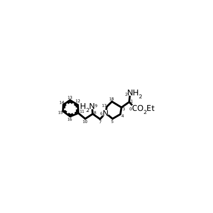 CCOC(=O)C(N)C1CCN(CC(N)Cc2ccccc2)CC1